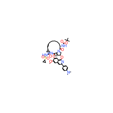 COc1ccc2c(OC3C[C@H]4C(=O)N[C@]5(C(=O)NS(=O)(=O)C6CC6)CC5/C=C\CCCCC[C@H](NC(=O)OC(C)(C)C)C(=O)N4C3)nc(-c3ccc(N(C)C)cc3)cc2c1